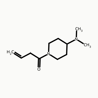 C=C[CH]C(=O)N1CCC(N(C)C)CC1